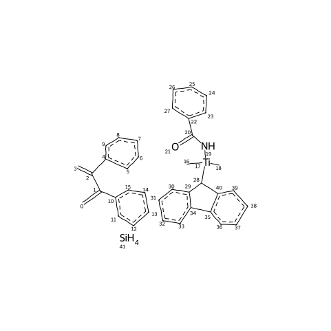 C=C(C(=C)c1ccccc1)c1ccccc1.[CH3][Ti]([CH3])([NH]C(=O)c1ccccc1)[CH]1c2ccccc2-c2ccccc21.[SiH4]